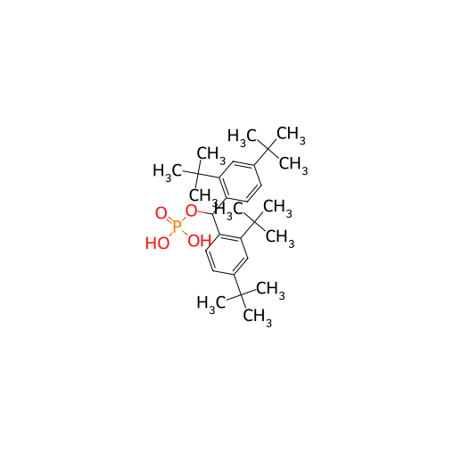 CC(C)(C)c1ccc(C(OP(=O)(O)O)c2ccc(C(C)(C)C)cc2C(C)(C)C)c(C(C)(C)C)c1